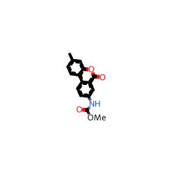 COC(=O)Nc1ccc2c(c1)c(=O)oc1cc(C)ccc12